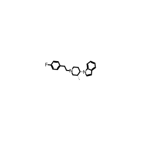 C[C@@H]1CN(CCc2ccc(F)cc2)CC[C@@H]1n1ccc2ccccc21